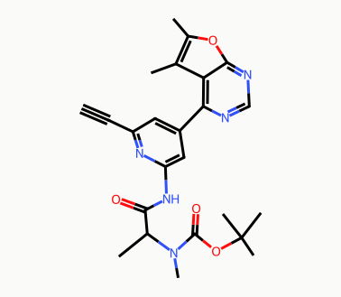 C#Cc1cc(-c2ncnc3oc(C)c(C)c23)cc(NC(=O)C(C)N(C)C(=O)OC(C)(C)C)n1